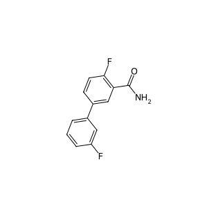 NC(=O)c1cc(-c2cccc(F)c2)ccc1F